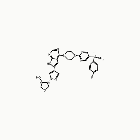 C[C@](N)(c1ccc(F)cc1)c1cnc(N2CCN(c3ncnc4[nH]c(-c5cnn([C@@H]6COC[C@H]6O)c5)cc34)CC2)nc1